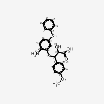 COc1ccc(C(Sc2cc(Sc3ccccc3)ccc2N)C(O)C(=O)O)cc1